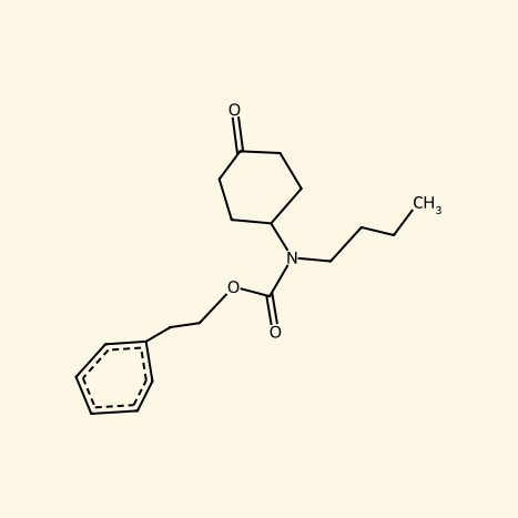 CCCCN(C(=O)OCCc1ccccc1)C1CCC(=O)CC1